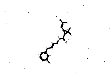 CC(C)=CC1C(C(=O)OC/C=C/Cc2cccc(C)c2)C1(C)C